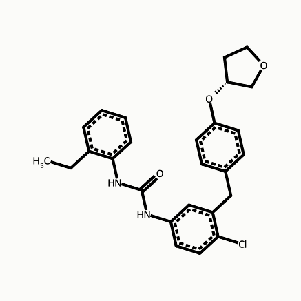 CCc1ccccc1NC(=O)Nc1ccc(Cl)c(Cc2ccc(O[C@@H]3CCOC3)cc2)c1